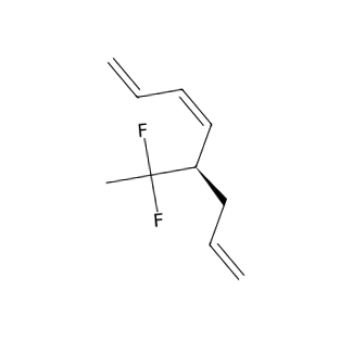 C=C/C=C\[C@@H](CC=C)C(C)(F)F